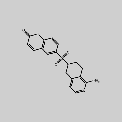 Nc1ncnc2c1CCN(S(=O)(=O)c1ccc3oc(=O)ccc3c1)C2